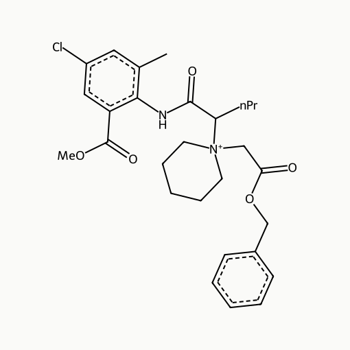 CCCC(C(=O)Nc1c(C)cc(Cl)cc1C(=O)OC)[N+]1(CC(=O)OCc2ccccc2)CCCCC1